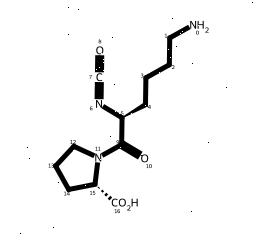 NCCCC[C@H](N=C=O)C(=O)N1CCC[C@H]1C(=O)O